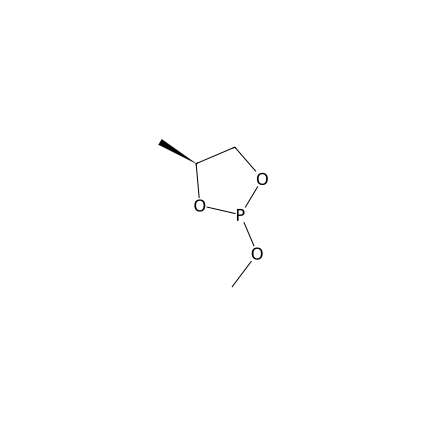 COP1OC[C@H](C)O1